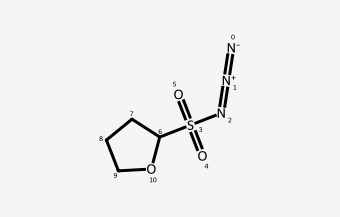 [N-]=[N+]=NS(=O)(=O)C1CCCO1